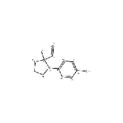 CC1(C=O)OCCN1c1ccc(I)cc1